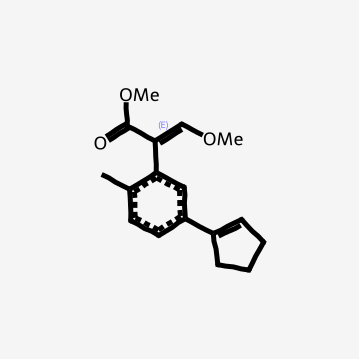 CO/C=C(/C(=O)OC)c1cc(C2=CCCC2)ccc1C